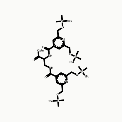 COC(=O)C(CNC(=O)c1cc(CO[Si](C)(C)C(C)(C)C)nc(CO[Si](C)(C)C(C)(C)C)c1)NC(=O)c1cc(CO[Si](C)(C)C(C)(C)C)nc(CO[Si](C)(C)C(C)(C)C)c1